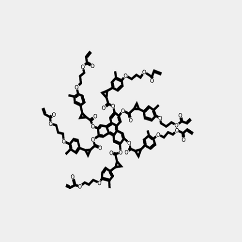 C=CC(=O)OCCCOc1ccc(C2CC2C(=O)Oc2cc3c4cc(OC(=O)C5CC5c5ccc(OCCCOC(=O)C=C)c(C)c5)c(OC(=O)C5CC5c5ccc(OCCCOC(=O)C=C)c(C)c5)cc4c4cc(OC(=O)C5CC5c5ccc(OCCCOC(=O)C=C)c(C)c5)c(OC(=O)C5CC5c5ccc(OCCCOC(=O)C=C)c(C)c5)cc4c3cc2OC(=O)C2CC2c2ccc(OCCCOC(=O)C=C)c(C)c2)cc1C